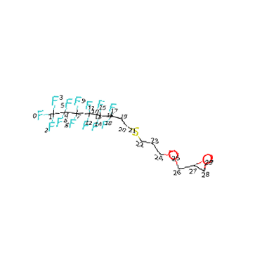 FC(F)(F)C(F)(F)C(F)(F)C(F)(F)C(F)(F)C(F)(F)CCSCCCOCC1CO1